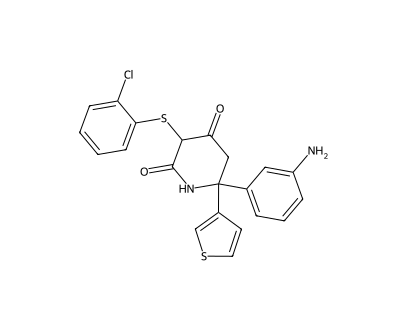 Nc1cccc(C2(c3ccsc3)CC(=O)C(Sc3ccccc3Cl)C(=O)N2)c1